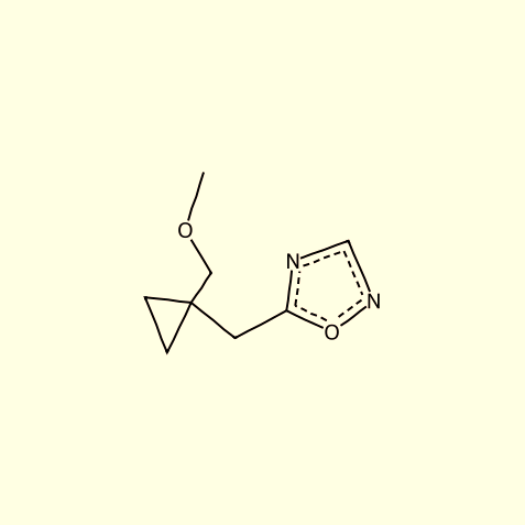 COCC1(Cc2ncno2)CC1